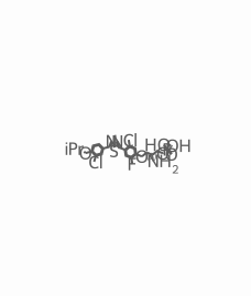 CC(C)Oc1ccc(-c2nnc(-c3cc(F)c(OC[C@H](N)COP(=O)(O)O)cc3Cl)s2)cc1Cl